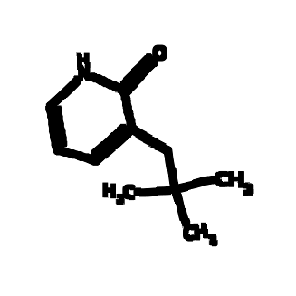 CC(C)(C)Cc1ccc[nH]c1=O